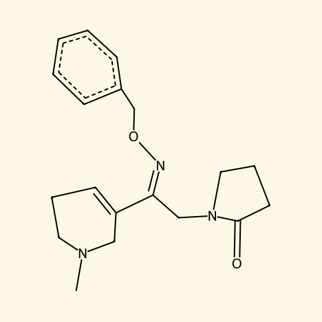 CN1CCC=C(/C(CN2CCCC2=O)=N\OCc2ccccc2)C1